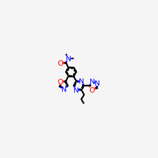 CCCc1ncc(-c2ccc(C(=O)N(C)C)cc2-c2cnco2)nc1-c1nnco1